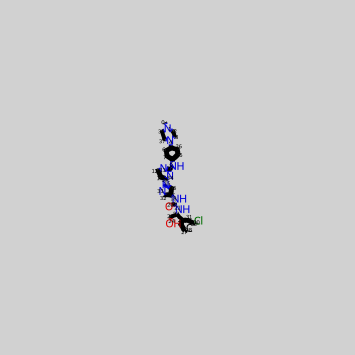 CN1CCN(c2ccc(Nc3nccc(-n4cc(NC(=O)NC(CO)c5cccc(Cl)c5)cn4)n3)cc2)CC1